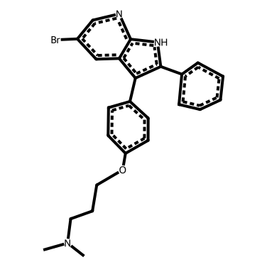 CN(C)CCCOc1ccc(-c2c(-c3ccccc3)[nH]c3ncc(Br)cc23)cc1